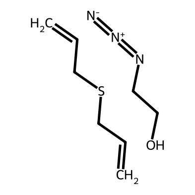 C=CCSCC=C.[N-]=[N+]=NCCO